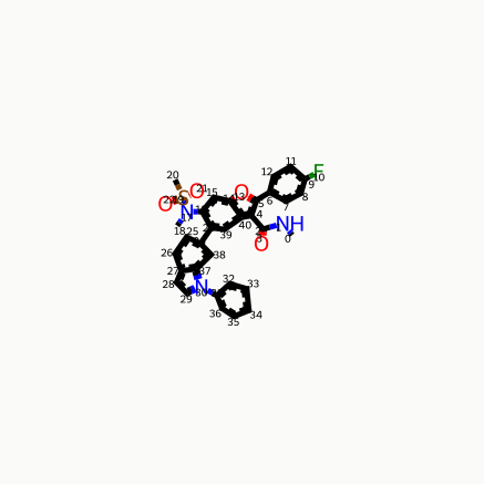 CNC(=O)c1c(-c2ccc(F)cc2)oc2cc(N(C)S(C)(=O)=O)c(-c3ccc4ccn(-c5ccccc5)c4c3)cc12